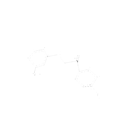 CC(=O)Nc1cccc(OCC(=O)c2ccc(F)cc2)c1